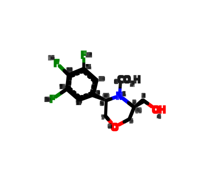 O=C(O)N1[C@@H](CO)COC[C@H]1c1cc(F)c(F)c(F)c1